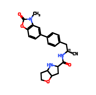 Cn1c(=O)oc2ccc(-c3ccc(C[C@@H](C#N)NC(=O)C4CC5OCCC5N4)cc3)cc21